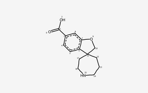 O=C(O)c1ccc2c(c1)OCC21CCCNCC1